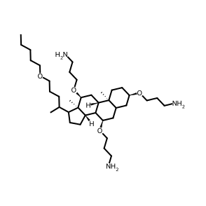 CCCCCOCCCC(C)C1CC[C@H]2C3[C@H](OCCCN)CC4C[C@H](OCCCN)CC[C@]4(C)[C@H]3C[C@H](OCCCN)[C@]12C